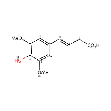 COc1cc(/C=C/CC(=O)O)cc(OC)c1O